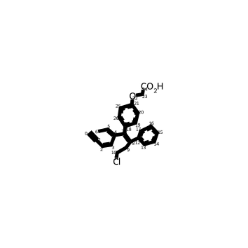 C#C\C=C/C(=C\C)C(=C(\CCCl)c1ccccc1)/c1ccc(OCC(=O)O)cc1